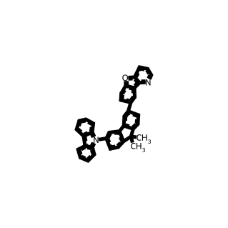 CC1(C)c2ccc(-c3ccc4oc5cccnc5c4c3)cc2-c2cc(-n3c4ccccc4c4ccccc43)ccc21